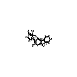 CN1C=c2oc3ccccc3c2=CB1N1C=CN(C)C1(C)C